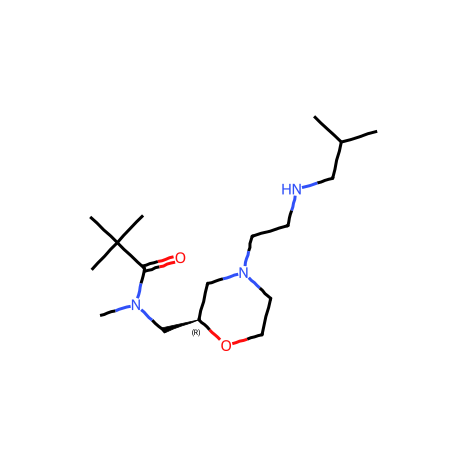 CC(C)CNCCN1CCO[C@@H](CN(C)C(=O)C(C)(C)C)C1